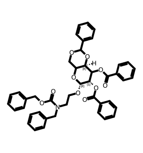 O=C(OC1[C@@H]2OC(c3ccccc3)OCC2O[C@@H](OCCN(Cc2ccccc2)C(=O)OCc2ccccc2)[C@H]1OC(=O)c1ccccc1)c1ccccc1